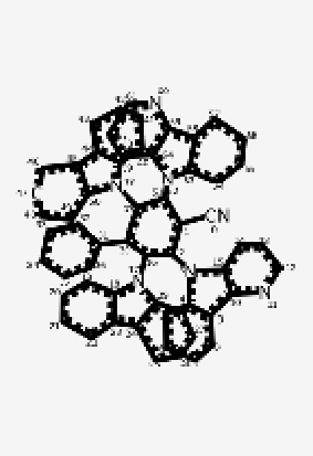 N#Cc1c(-n2c3ccccc3c3ncccc32)c(-n2c3ccccc3c3ccccc32)c(-c2ccccc2)c(-n2c3ccccc3c3ccccc32)c1-n1c2ccccc2c2ncccc21